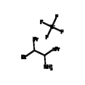 CCCC([NH3+])C(CC)C(C)C.F[B-](F)(F)F